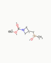 C[S+]([O-])CC1CN(C(=O)OC(C)(C)C)C1